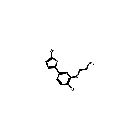 CC(=O)c1ccc(-c2ccc(Cl)c(OCCN)c2)s1